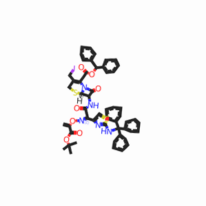 C=C(O/N=C(\C(=O)NC1C(=O)N2C(C(=O)OC(c3ccccc3)c3ccccc3)=C(CI)CS[C@H]12)c1csc(NC(c2ccccc2)(c2ccccc2)c2ccccc2)n1)C(=O)OC(C)(C)C